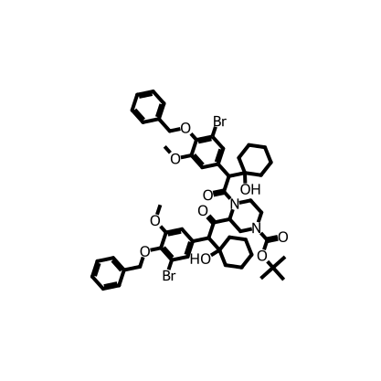 COc1cc(C(C(=O)C2CN(C(=O)OC(C)(C)C)CCN2C(=O)C(c2cc(Br)c(OCc3ccccc3)c(OC)c2)C2(O)CCCCC2)C2(O)CCCCC2)cc(Br)c1OCc1ccccc1